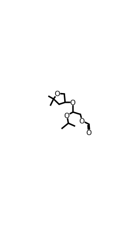 CC(C)OC(COC=O)OC1COC(C)(C)C1